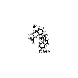 COc1ccc2c(ccn2S(=O)(=O)c2ccc(C(C)C)c(OC(C)CN(C)C)c2)c1